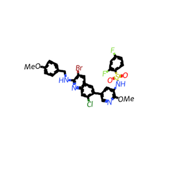 COc1ccc(CNc2nc3cc(Cl)c(-c4cnc(OC)c(NS(=O)(=O)c5ccc(F)cc5F)c4)cc3cc2Br)cc1